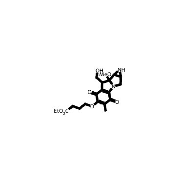 CCOC(=O)CCCOC1=C(C)C(=O)C2=C(C1=O)C(CO)C1(OC)C3NC3CN21